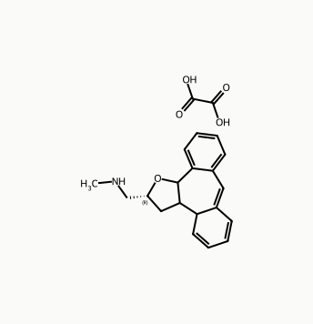 CNC[C@H]1CC2C3C=CC=CC3=Cc3ccccc3C2O1.O=C(O)C(=O)O